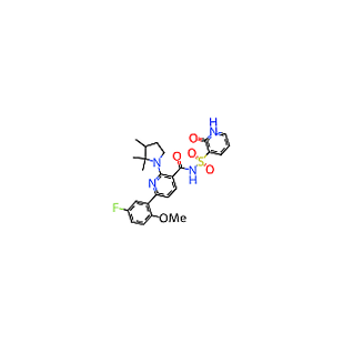 COc1ccc(F)cc1-c1ccc(C(=O)NS(=O)(=O)c2ccc[nH]c2=O)c(N2CCC(C)C2(C)C)n1